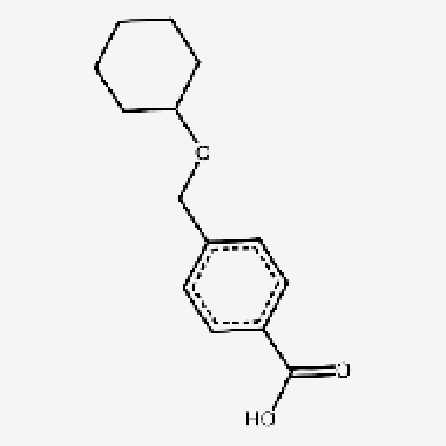 O=C(O)c1ccc(COC2CCCCC2)cc1